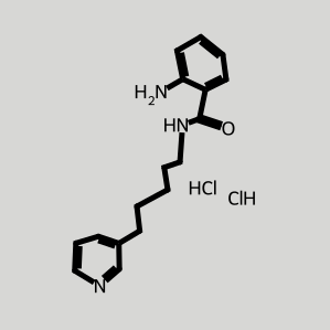 Cl.Cl.Nc1ccccc1C(=O)NCCCCCc1cccnc1